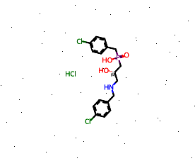 Cl.O=P(O)(Cc1ccc(Cl)cc1)C[C@@H](O)CNCc1ccc(Cl)cc1